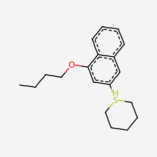 CCCCOc1cc([SH]2CCCCC2)cc2ccccc12